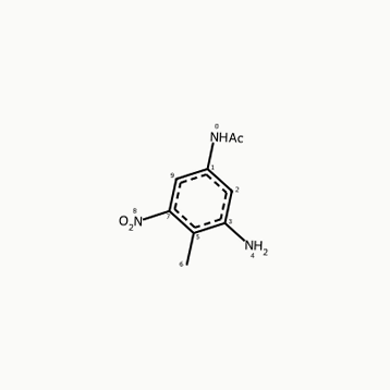 CC(=O)Nc1cc(N)c(C)c([N+](=O)[O-])c1